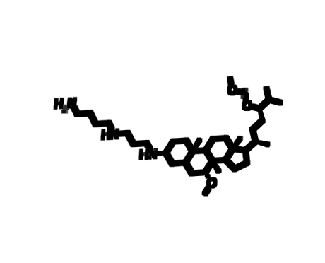 COSO[C@H](CC[C@@H](C)C1CCC2[C@]1(C)CCC1[C@@]3(C)CC[C@H](NCCCNCCCCN)CC3C[C@@H](OC)[C@]12C)C(C)C